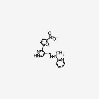 CN(N=Cc1c[nH]nc1-c1ccc([N+](=O)[O-])o1)c1ccccn1